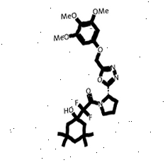 COc1cc(OCc2nnc([C@@H]3CCCN3C(=O)C(F)(F)C3(O)CC(C)(C)CC(C)(C)C3)o2)cc(OC)c1OC